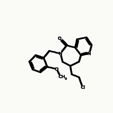 COc1ccccc1CN1CC(CCCl)Cc2ncccc2C1=O